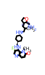 C=C(/C=C1/CCO/C1=C/N)CN[C@H]1CC[C@H](CNc2c(F)cnc3ccc(=O)n(C)c23)CC1